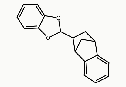 c1ccc2c(c1)OC(C1CC3CC1c1ccccc13)O2